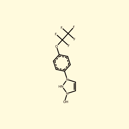 ON1C=CN(c2ccc(OC(F)(F)C(F)(F)F)cc2)N1